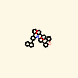 c1ccc(-c2ccccc2N(c2ccc(-c3cccc4oc5ccccc5c34)cc2)c2cc(-c3cccc4ccccc34)ccc2-c2ccccc2)cc1